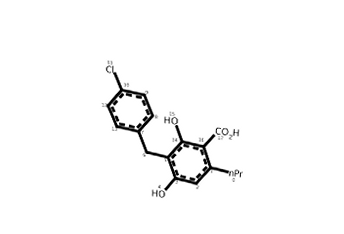 CCCc1cc(O)c(Cc2ccc(Cl)cc2)c(O)c1C(=O)O